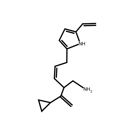 C=Cc1ccc(C/C=C\C(CN)C(=C)C2CC2)[nH]1